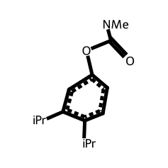 CNC(=O)Oc1ccc(C(C)C)c(C(C)C)c1